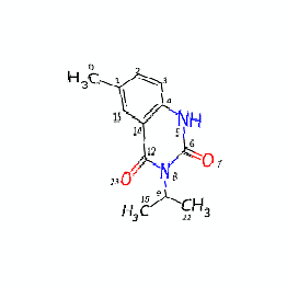 Cc1ccc2[nH]c(=O)n(C(C)C)c(=O)c2c1